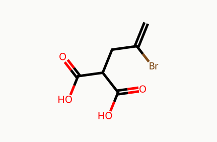 C=C(Br)CC(C(=O)O)C(=O)O